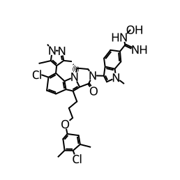 Cc1cc(OCCCc2c3n(c4c(-c5c(C)nn(C)c5C)c(Cl)ccc24)[C@H](C)CN(c2cn(C)c4cc(C(=N)NO)ccc24)C3=O)cc(C)c1Cl